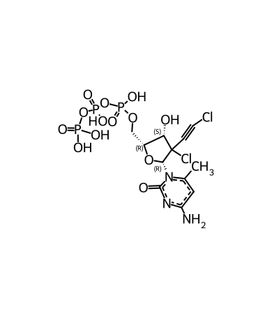 Cc1cc(N)nc(=O)n1[C@@H]1O[C@H](COP(=O)(O)OP(=O)(O)OP(=O)(O)O)[C@H](O)C1(Cl)C#CCl